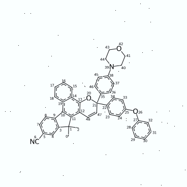 CC1(C)c2cc(C#N)ccc2-c2c1c1c(c3ccccc23)OC(c2ccc(Oc3ccccc3)cc2)(c2ccc(N3CCOCC3)cc2)C=C1